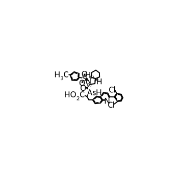 Cc1ccc(S(=O)(=O)N2[C@H](C(=O)[AsH]C(Cc3ccc4nc(-c5c(Cl)cccc5Cl)ccc4c3)C(=O)O)C[C@@H]3CCCC[C@@H]32)cc1